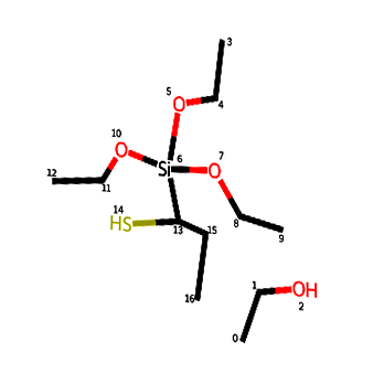 CCO.CCO[Si](OCC)(OCC)C(S)CC